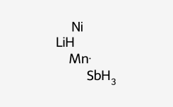 [LiH].[Mn].[Ni].[SbH3]